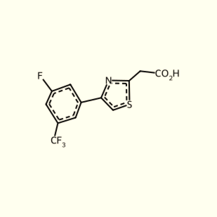 O=C(O)Cc1nc(-c2cc(F)cc(C(F)(F)F)c2)cs1